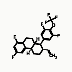 C=C[C@@H]1CC[C@H]2c3cc(F)cc(F)c3CC[C@@H]2[C@H]1c1cc(F)c(OC(F)(F)F)c(F)c1